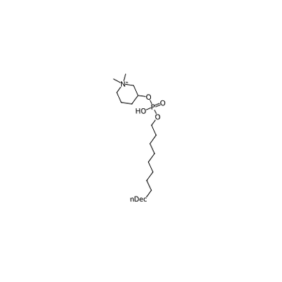 CCCCCCCCCCCCCCCCCCOP(=O)(O)OC1CCC[N+](C)(C)C1